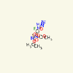 COc1ccc(CN(c2scnc2C(=O)OCC(C)C)S(=O)(=O)c2ccc(NC(=O)CN=[N+]=[N-])c(F)c2)cc1